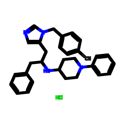 Cl.N#Cc1ccc(Cn2cncc2CC(Cc2ccccc2)NC2CCN(c3ccccc3)CC2)cc1